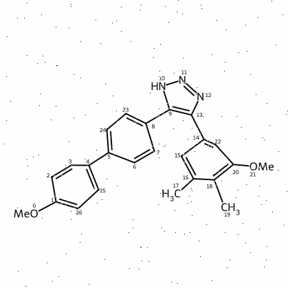 COc1ccc(-c2ccc(-c3[nH]nnc3-c3cc(C)c(C)c(OC)c3)cc2)cc1